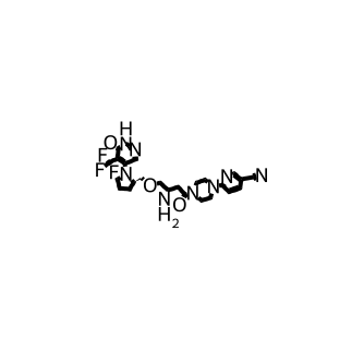 N#Cc1ccc(N2CCN(C(=O)CC(N)COC[C@@H]3CCCN3c3cn[nH]c(=O)c3C(F)(F)F)CC2)nc1